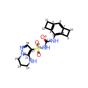 O=C(Nc1c2c(cc3c1CC3)CC2)NS(=O)(=O)c1cnn2c1NCCC2